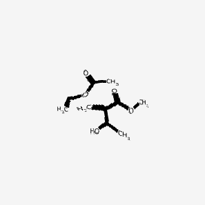 C=C(C(=O)OC)C(C)O.C=COC(C)=O